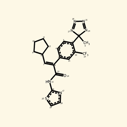 CC1(c2ccc(/C(=C\C3CCCC3)C(=O)Nc3nccs3)cc2C(F)(F)F)N=NN=N1